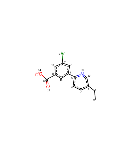 CCc1ccc(-c2cc(Br)cc(C(=O)O)c2)nc1